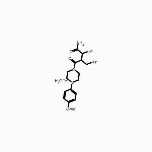 CCCC(C(N)=O)C(CC(C)C)C(=O)N1CCN(c2ccc(OC)cc2)[C@H](C)C1